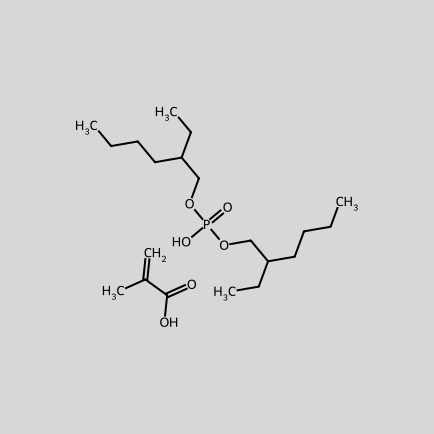 C=C(C)C(=O)O.CCCCC(CC)COP(=O)(O)OCC(CC)CCCC